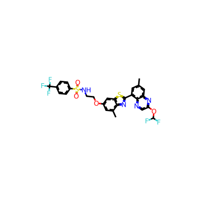 Cc1cc(-c2nc3c(C)cc(OCCNS(=O)(=O)c4ccc(C(F)(F)F)cc4)cc3s2)c2ncc(OC(F)F)nc2c1